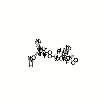 CN(Cc1cccnc1N)c1nc(OCC23CCCN2C(c2ccc(F)c4c(-c5ncc6c(NCc7ccc8[nH]cnc8c7)nc(OCC78CCCN7CCC8)nc6c5F)cccc24)CC3)nc2c(F)c(-c3cccc4cccc(F)c34)ncc12